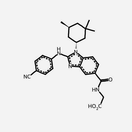 C[C@@H]1C[C@@H](n2c(Nc3ccc(C#N)cc3)nc3cc(C(=O)NCC(=O)O)ccc32)CC(C)(C)C1